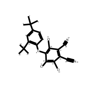 CC(C)(C)c1ccc(Oc2c(Cl)c(Cl)c(C#N)c(C#N)c2Cl)c(C(C)(C)C)c1